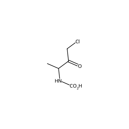 CC(NC(=O)O)C(=O)CCl